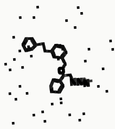 [N-]=[N+]=NCC(OCc1cccc(CCc2ccccc2)c1)c1ccccc1